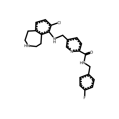 O=C(NCc1ccc(F)cc1)c1ccc(CNc2c(Cl)ccc3c2CCNCC3)cn1